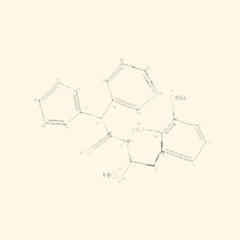 COc1cccc(CC(NC(=O)C(c2ccccc2)c2ccccc2)C(=O)O)c1O